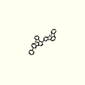 c1ccc(-c2ccc3c(c2)c2ccc(-c4ccc5c(c4)c4cccc6c7ccccc7n5c64)c4c5ccccc5n3c24)cc1